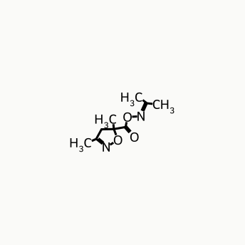 CC(C)=NOC(=O)C1(C)CC(C)=NO1